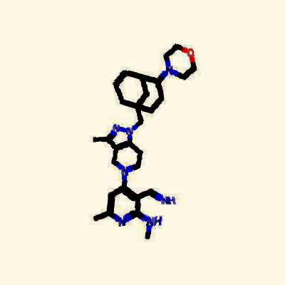 CNc1nc(C)cc(N2CCc3c(c(C)nn3CC34CCCC(C3)C(N3CCOCC3)CC4)C2)c1C=N